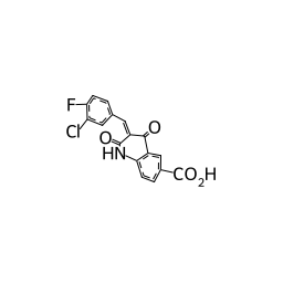 O=C1Nc2ccc(C(=O)O)cc2C(=O)/C1=C/c1ccc(F)c(Cl)c1